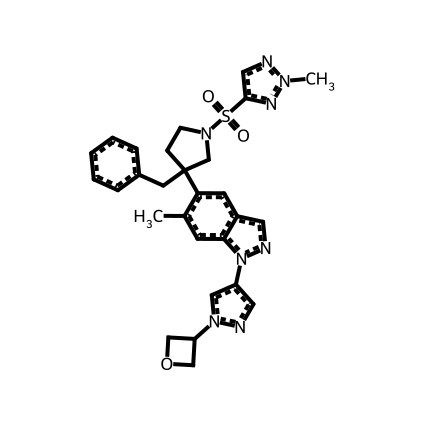 Cc1cc2c(cnn2-c2cnn(C3COC3)c2)cc1C1(Cc2ccccc2)CCN(S(=O)(=O)c2cnn(C)n2)C1